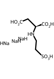 O=C(O)C[C@H](NCCS(=O)(=O)O)C(=O)O.[NaH].[NaH].[NaH]